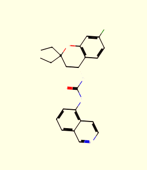 CCC1(CC)C[C@@H](NC(=O)Nc2cccc3cnccc23)c2ccc(F)cc2O1